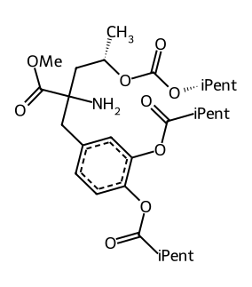 CCCC(C)C(=O)Oc1ccc(CC(N)(C[C@H](C)OC(=O)O[C@@H](C)CCC)C(=O)OC)cc1OC(=O)C(C)CCC